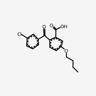 CCCCOc1ccc(C(=O)c2cccc(Cl)c2)c(C(=O)O)c1